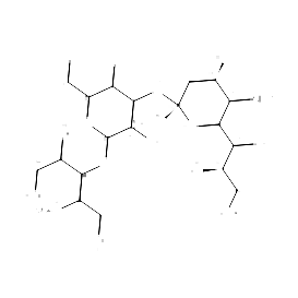 COC(CO)C(OC1OC(CO)C(O)C(O[C@]2(C(=O)O)C[C@@H](O)C(NC(C)=O)C(C(O)[C@H](O)CO)O2)C1O)C(O)[C@@H](C)O